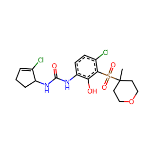 CC1(S(=O)(=O)c2c(Cl)ccc(NC(=O)NC3CCC=C3Cl)c2O)CCOCC1